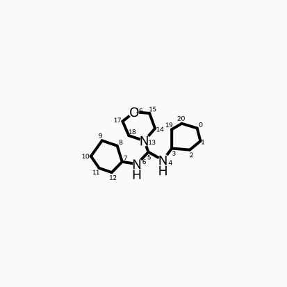 C1CCC(NC(NC2CCCCC2)N2CCOCC2)CC1